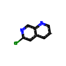 Clc1cc2c[c]cnc2cn1